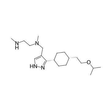 CNCCN(C)Cc1c[nH]nc1[C@H]1CC[C@@H](CCOC(C)C)CC1